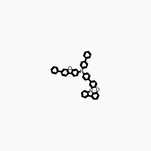 c1ccc(-c2ccc(N(c3ccc(-c4ccc5c(c4)-n4c6ccccc6c6cccc(c64)O5)cc3)c3ccc4c(c3)oc3cc(-c5ccccc5)ccc34)cc2)cc1